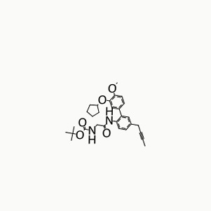 CC#CCc1ccc(NC(=O)CNC(=O)OC(C)(C)C)c(-c2ccc(OC)c(OC3CCCC3)c2)c1